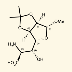 CO[C@@H]1O[C@H]([C@H](O)[C@H](N)C(=O)O)[C@H]2OC(C)(C)O[C@@H]12